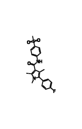 Cc1c(C(=O)Nc2ccc(S(C)(=O)=O)cc2)c(C)n(C)c1-c1ccc(F)cc1